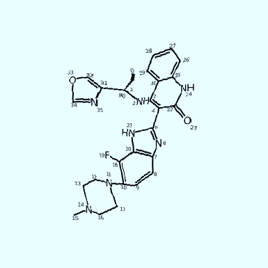 C[C@@H](Nc1c(-c2nc3ccc(N4CCN(C)CC4)c(F)c3[nH]2)c(=O)[nH]c2ccccc12)c1cocn1